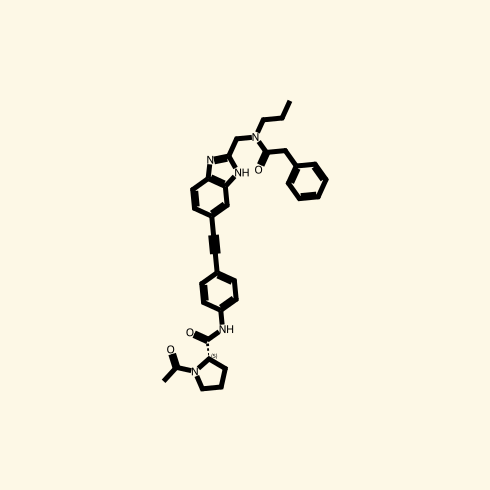 CCCN(Cc1nc2ccc(C#Cc3ccc(NC(=O)[C@@H]4CCCN4C(C)=O)cc3)cc2[nH]1)C(=O)Cc1ccccc1